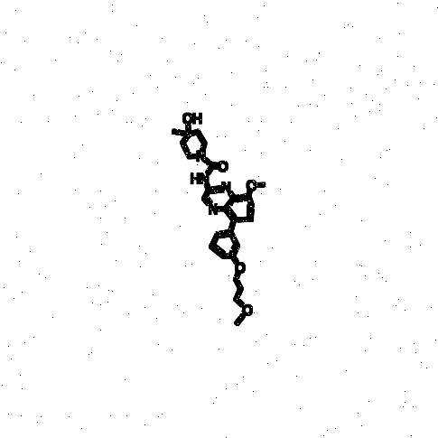 COCCCOc1cccc(-c2ccc(OC)c3nc(NC(=O)N4CCC(C)(O)CC4)cnc23)c1